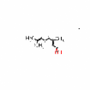 CC(C)=CCCC(C)=CCO